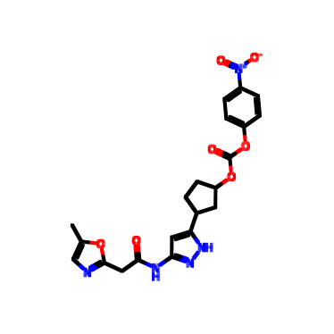 Cc1cnc(CC(=O)Nc2cc(C3CCC(OC(=O)Oc4ccc([N+](=O)[O-])cc4)C3)[nH]n2)o1